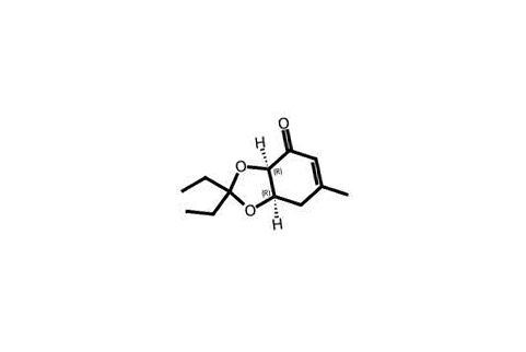 CCC1(CC)O[C@@H]2CC(C)=CC(=O)[C@@H]2O1